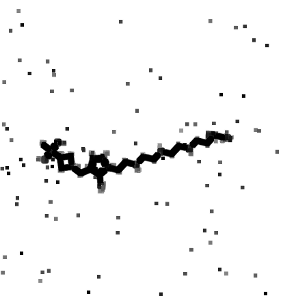 CC(C)NCCOCCOCCOCCn1nnc(CN2CC(S(C)(=O)=O)C2)c1Cl